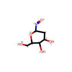 O=NC1CC(O)C(O)C(CO)O1